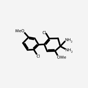 COC1=CC(c2cc(OC)ccc2Cl)=C(Cl)CC1(N)N